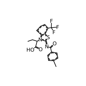 CCC(C(=O)O)n1c(=NC(=O)c2ccc(C)cc2)sc2c(C(F)(F)F)cccc21